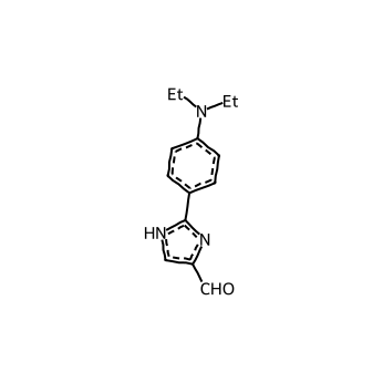 CCN(CC)c1ccc(-c2nc(C=O)c[nH]2)cc1